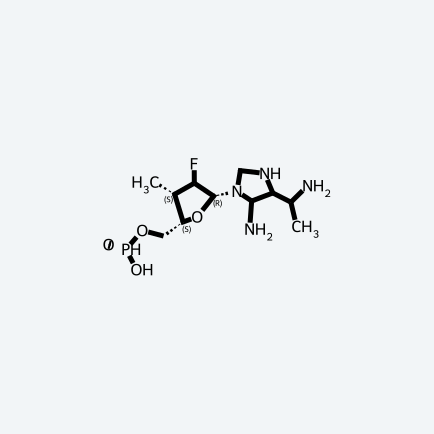 CC(N)C1NCN([C@@H]2O[C@H](CO[PH](=O)O)[C@H](C)C2F)C1N